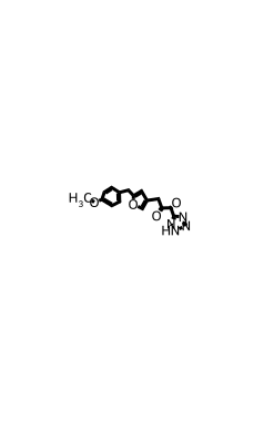 COc1ccc(Cc2cc(CC(=O)C(=O)c3nn[nH]n3)co2)cc1